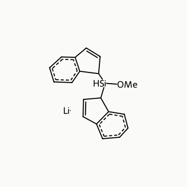 CO[SiH](C1C=Cc2ccccc21)C1C=Cc2ccccc21.[Li]